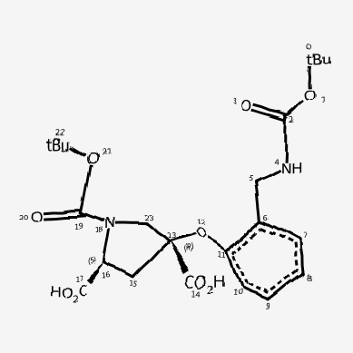 CC(C)(C)OC(=O)NCc1ccccc1O[C@]1(C(=O)O)C[C@@H](C(=O)O)N(C(=O)OC(C)(C)C)C1